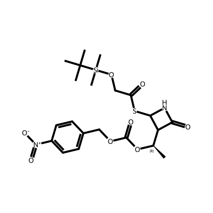 C[C@@H](OC(=O)OCc1ccc([N+](=O)[O-])cc1)C1C(=O)NC1SC(=O)CO[Si](C)(C)C(C)(C)C